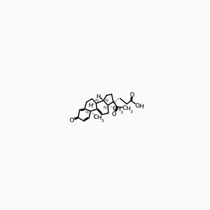 CC(=O)[C@]1(CCC(=O)O)CC[C@H]2[C@@H]3CCC4=CC(=O)C=C[C@]4(C)C3=CC[C@@]21C